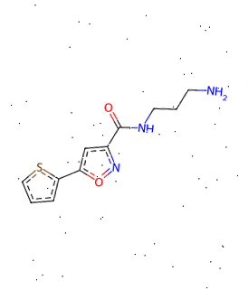 NCCCNC(=O)c1cc(-c2cccs2)on1